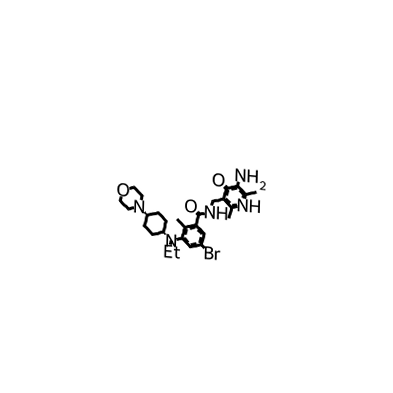 CCN(c1cc(Br)cc(C(=O)NCc2c(C)[nH]c(C)c(N)c2=O)c1C)[C@H]1CC[C@H](N2CCOCC2)CC1